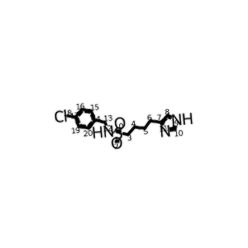 O=S(=O)(CCCCc1c[nH]cn1)NCc1ccc(Cl)cc1